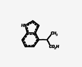 CC(C(=O)O)c1cccc2[nH]ccc12